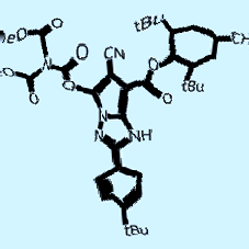 COC(=O)N(C(=O)OC)C(=O)Oc1c(C#N)c(C(=O)OC2C(C(C)(C)C)CC(C)CC2C(C)(C)C)c2[nH]c(-c3ccc(C(C)(C)C)cc3)nn12